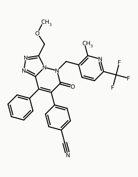 COCc1nnc2c(-c3ccccc3)c(-c3ccc(C#N)cc3)c(=O)n(Cc3ccc(C(F)(F)F)nc3C)n12